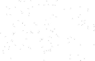 CCCCCCCCCCOC1(CBr)C=CC(c2ccccc2)C=C1F